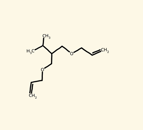 C=CCOCC(COCC=C)C(C)C